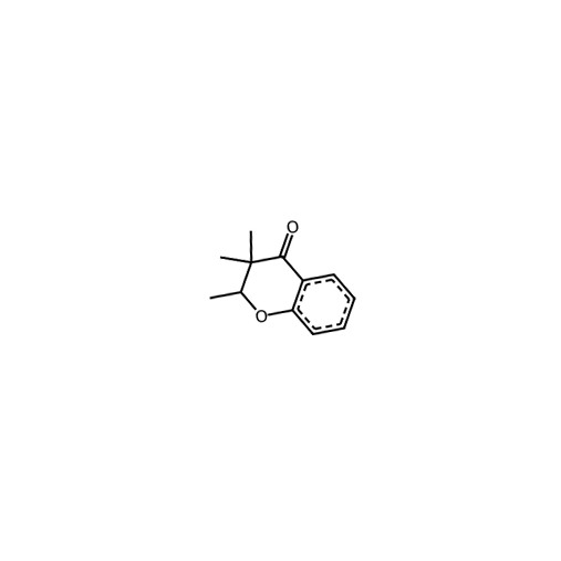 CC1Oc2ccccc2C(=O)C1(C)C